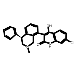 CN1Cc2c(-c3c(O)c4ccc(Cl)cc4[nH]c3=O)cccc2[C@H](c2ccccc2)C1